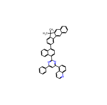 CC1(C)c2ccc(-c3ccc(-c4nc(-c5ccccc5)cc(-c5cccc6ncccc56)n4)c4ccccc34)cc2-c2cc3ccccc3cc21